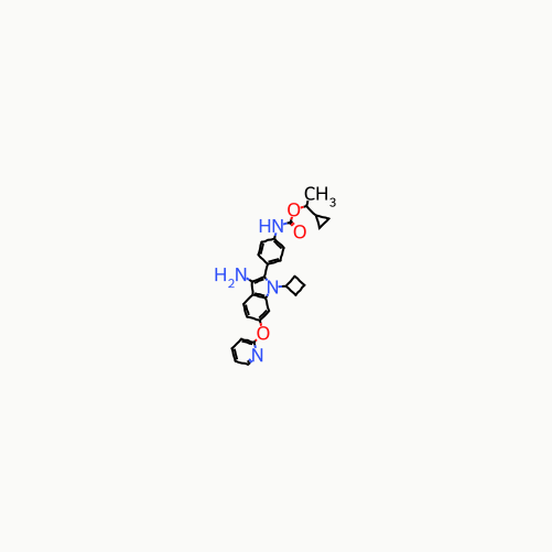 CC(OC(=O)Nc1ccc(-c2c(N)c3ccc(Oc4ccccn4)cc3n2C2CCC2)cc1)C1CC1